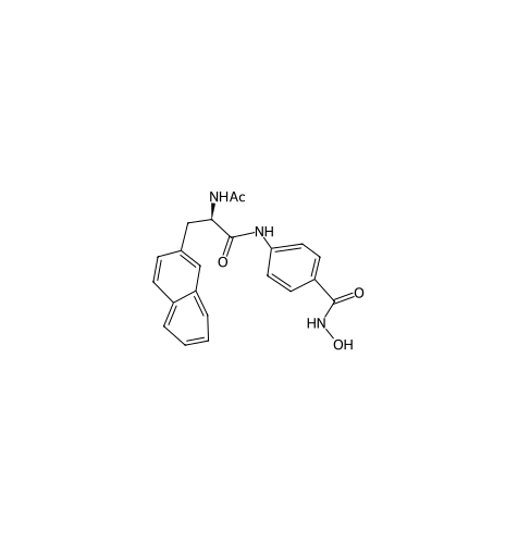 CC(=O)N[C@H](Cc1ccc2ccccc2c1)C(=O)Nc1ccc(C(=O)NO)cc1